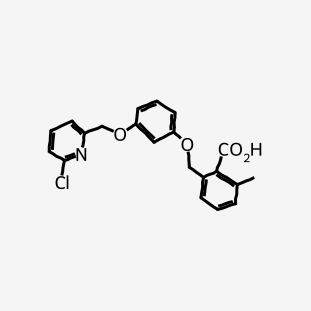 Cc1cccc(COc2cccc(OCc3cccc(Cl)n3)c2)c1C(=O)O